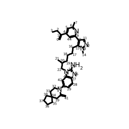 C=C(CC)c1cc(C)nc(-c2cnn(C)c2CCCCC(C)Cn2c(N)nc3ccc(N4CCC5(CCCC5)CC4=C)cc32)c1